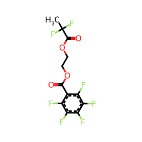 CC(F)(F)C(=O)OCCOC(=O)c1c(F)c(F)c(F)c(F)c1F